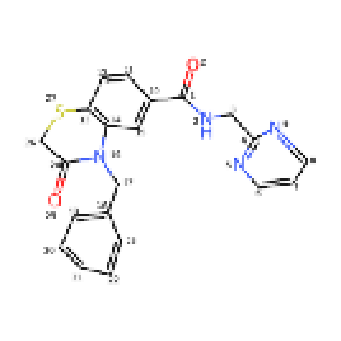 O=C(NCc1ncccn1)c1ccc2c(c1)N(Cc1ccccc1)C(=O)CS2